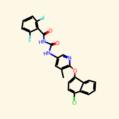 Cc1cc(NC(=O)NC(=O)c2c(F)cccc2F)cnc1Oc1ccc(Cl)c2ccccc12